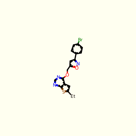 CCc1cc2c(OCc3cc(-c4ccc(Br)cc4)no3)ncnc2s1